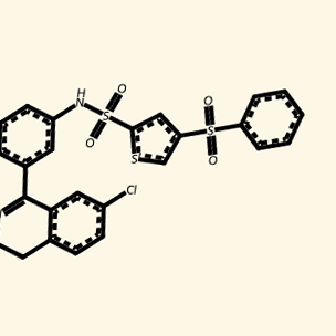 O=S(=O)(Nc1cccc(C2=NCCc3ccc(Cl)cc32)c1)c1cc(S(=O)(=O)c2ccccc2)cs1